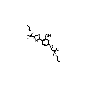 CCCOC(=O)COc1ccc(C2=N[C@@](C)(C(=O)OCCC)CS2)c(O)c1